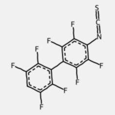 Fc1cc(F)c(F)c(-c2c(F)c(F)c(N=C=S)c(F)c2F)c1F